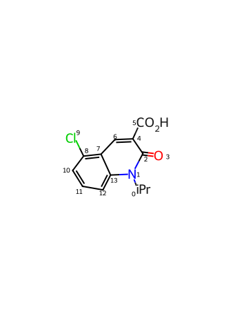 CC(C)n1c(=O)c(C(=O)O)cc2c(Cl)cccc21